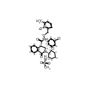 Cc1cccc(CONC(=O)[C@@H]2c3ccccc3C(=O)N([C@H]3CCCC[C@@H]3NS(C)(=O)=O)[C@H]2c2ccc(Cl)cc2Cl)[n+]1[O-]